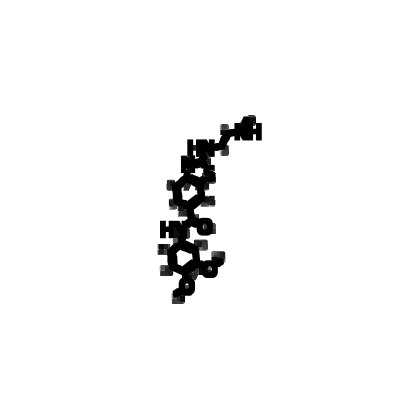 CNCCNc1nc2ccc(C(=O)Nc3ccc(OC)c(OC)c3)cc2s1